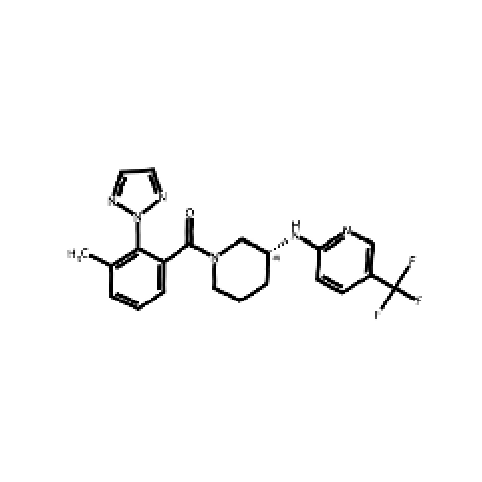 Cc1cccc(C(=O)N2CCC[C@@H](Nc3ccc(C(F)(F)F)cn3)C2)c1-n1nccn1